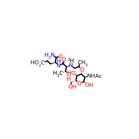 [2H]N(CC(C)O[C@H]1[C@H](O)[C@@H](CO)O[C@H](O)[C@@H]1NC(C)=O)[C@H](C(=O)N[C@@H](CCC(=O)O)C(N)=O)[C@@H](C)O